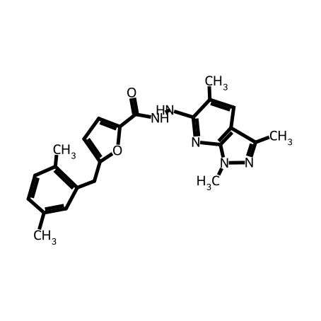 Cc1ccc(C)c(Cc2ccc(C(=O)NNc3nc4c(cc3C)c(C)nn4C)o2)c1